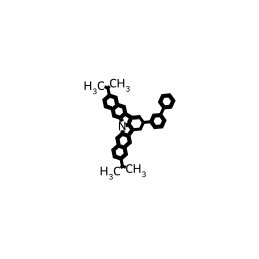 CC(C)c1ccc2cc3c(cc2c1)c1c2c(c4cc5cc(C(C)C)ccc5cc4n23)=CC(c2cccc(-c3ccccc3)c2)C1